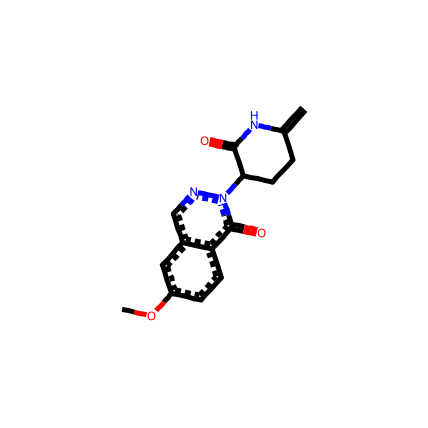 C=C1CCC(n2ncc3cc(OC)ccc3c2=O)C(=O)N1